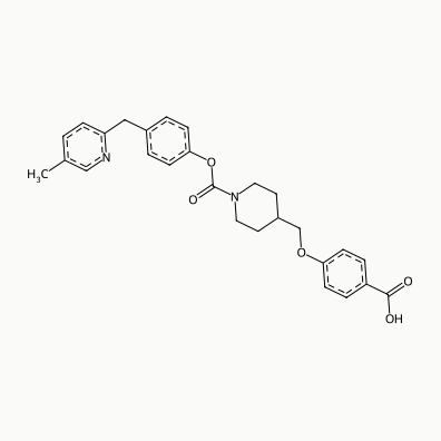 Cc1ccc(Cc2ccc(OC(=O)N3CCC(COc4ccc(C(=O)O)cc4)CC3)cc2)nc1